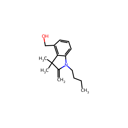 C=C1N(CCCC)c2cccc(CO)c2C1(C)C